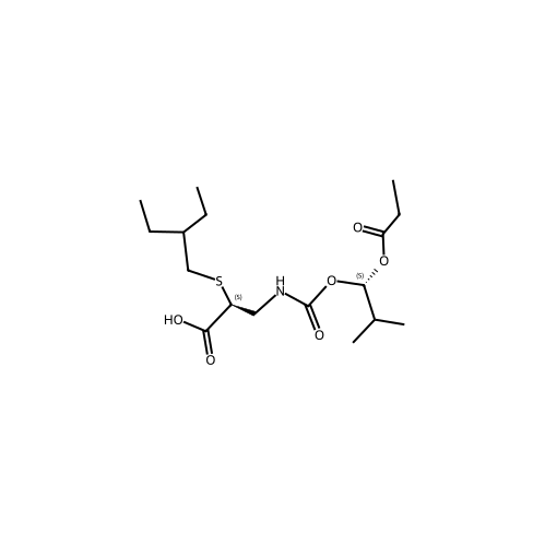 CCC(=O)O[C@@H](OC(=O)NC[C@H](SCC(CC)CC)C(=O)O)C(C)C